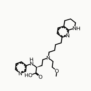 COCCN(CCCCc1ccc2c(n1)NCCC2)CC[C@H](Nc1cccnc1)C(=O)O